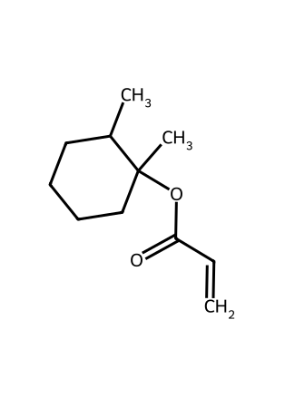 C=CC(=O)OC1(C)CCCCC1C